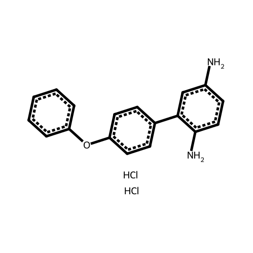 Cl.Cl.Nc1ccc(N)c(-c2ccc(Oc3ccccc3)cc2)c1